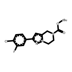 CC(C)(C)OC(=O)N1CCn2nc(-c3ccc(Cl)c(F)c3)cc2C1